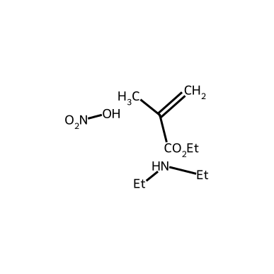 C=C(C)C(=O)OCC.CCNCC.O=[N+]([O-])O